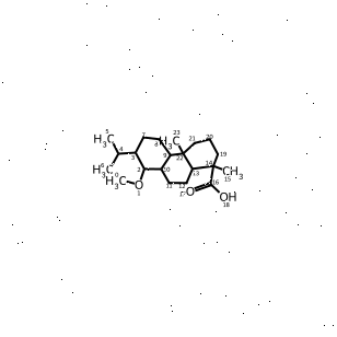 COC1C(C(C)C)CCC2C1CCC1C(C)(C(=O)O)CCCC21C